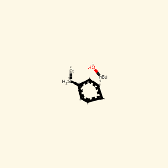 CCCCO.CC[SiH2]c1ccccc1